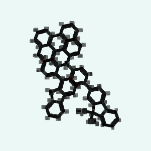 CC1(C)c2ccccc2-c2ccc(-c3ccc(N(c4ccccc4-c4cccc5c4sc4ccccc45)c4ccccc4-c4cccc5cccc(-c6ccccc6)c45)cc3)cc21